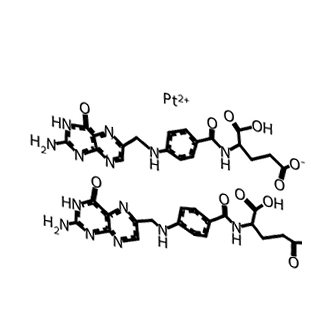 Nc1nc2ncc(CNc3ccc(C(=O)NC(CCC(=O)[O-])C(=O)O)cc3)nc2c(=O)[nH]1.Nc1nc2ncc(CNc3ccc(C(=O)NC(CCC(=O)[O-])C(=O)O)cc3)nc2c(=O)[nH]1.[Pt+2]